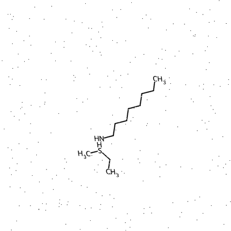 CCCCCCCCN[SH](C)CC